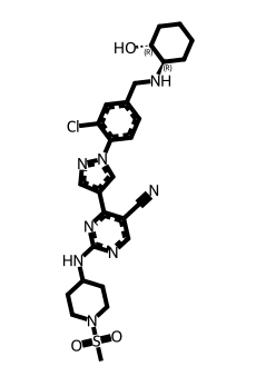 CS(=O)(=O)N1CCC(Nc2ncc(C#N)c(-c3cnn(-c4ccc(CN[C@@H]5CCCC[C@H]5O)cc4Cl)c3)n2)CC1